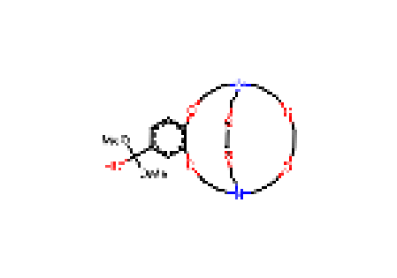 COC(O)(OC)c1ccc2c(c1)OCCN1CCOCCOCCN(CCOCCOCC1)CCO2